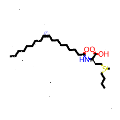 CCCCCCCC/C=C\CCCCCCCC(=O)N[C@H](CC[S+](C)CCCC)C(=O)O